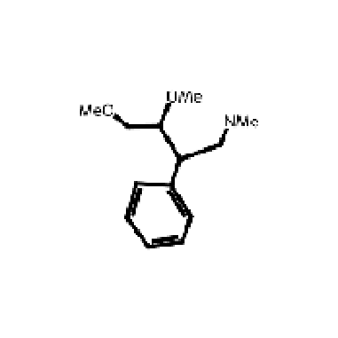 CNCC(c1ccccc1)C(COC)OC